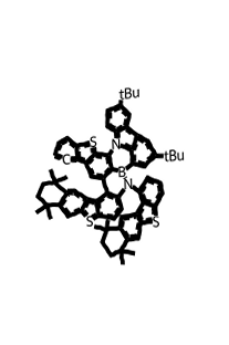 CC(C)(C)c1ccc2c(c1)c1cc(C(C)(C)C)cc3c1n2-c1c2c(cc4c1sc1ccccc14)-c1c(ccc4sc5cc6c(cc5c14)C(C)(C)CCC6(C)C)N(c1cccc4sc5cc6c(cc5c14)C(C)(C)CCC6(C)C)B23